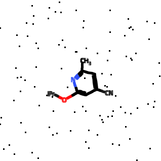 Cc1cc(C#N)cc(OC(C)C)n1